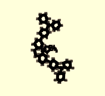 CC[Si]1(CC)c2cc(-c3ccc(N(c4ccccc4)c4ccccc4)cc3)ccc2C=Cc2ccc(-c3ccc(N(c4ccccc4)c4ccccc4)cc3)cc21